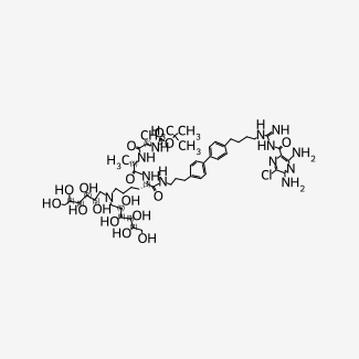 C[C@H](NC(=O)OC(C)(C)C)C(=O)N[C@@H](C)C(=O)N[C@@H](CCCCN(C[C@H](O)[C@@H](O)[C@H](O)[C@H](O)CO)C[C@H](O)[C@@H](O)[C@H](O)[C@H](O)CO)C(=O)NCCCc1ccc(-c2ccc(CCCCNC(=N)NC(=O)c3nc(Cl)c(N)nc3N)cc2)cc1